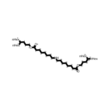 CCCCCCC(CCCCCC)CCCOC(=O)CCCCCCCNCCCCCCCC(=O)OCCCC(CCCCCC)CCCCCC